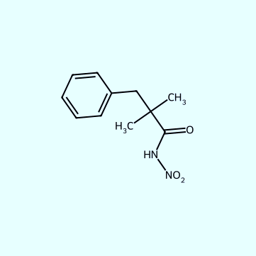 CC(C)(Cc1ccccc1)C(=O)N[N+](=O)[O-]